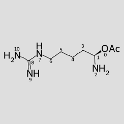 CC(=O)O[C@@H](N)CCCCNC(=N)N